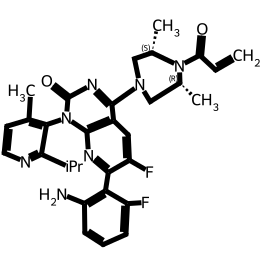 C=CC(=O)N1[C@H](C)CN(c2nc(=O)n(-c3c(C)ccnc3C(C)C)c3nc(-c4c(N)cccc4F)c(F)cc23)C[C@@H]1C